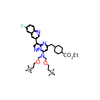 CCOC(=O)C1CCC(Cc2cc(N(COCC[Si](C)(C)C)COCC[Si](C)(C)C)n3ncc(-c4cnc5ccc(F)cc5c4)c3n2)CC1